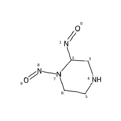 O=NC1CNCCN1N=O